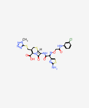 Cn1nnnc1SCC1=C(C(=O)O)N2C(=O)C(NC(=O)C(=NOCC(=O)Nc3cccc(Cl)c3)c3csc(N)n3)[C@@H]2SC1